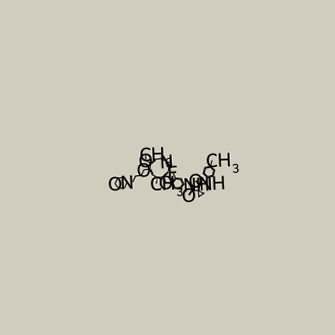 COC1=C/C/N=C\C=C(\Oc2ccc(NC(=O)C3(C(=O)Nc4ccc(C)cc4)CC3)cc2F)[C@@H](C)/C=C\1OCCCN1CCOCC1